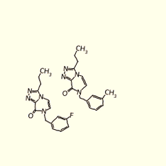 CCCc1nnc2c(=O)n(Cc3cccc(C)c3)ccn12.CCCc1nnc2c(=O)n(Cc3cccc(F)c3)ccn12